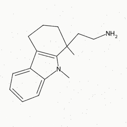 Cn1c2c(c3ccccc31)CCCC2(C)CCN